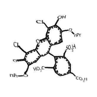 CCCOc1cc2c(-c3c(C(=O)O)cc(C(=O)O)cc3S(=O)(=O)O)c3cc(OCCC)c(=O)c(Cl)c-3oc2c(Cl)c1O